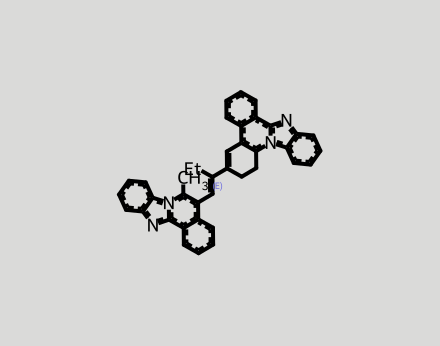 CC/C(=C\c1c(C)n2c3ccccc3nc2c2ccccc12)C1=Cc2c(n3c4ccccc4nc3c3ccccc23)CC1